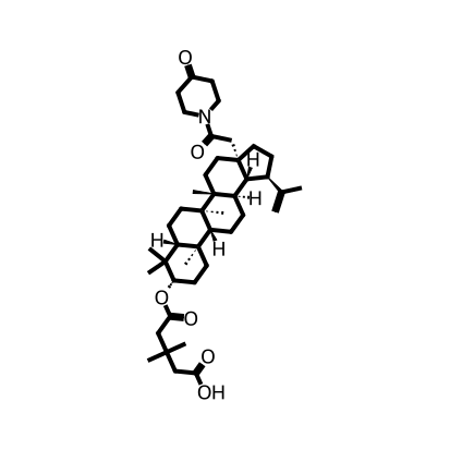 C=C(C)[C@@H]1CC[C@]2(CC(=O)N3CCC(=O)CC3)CC[C@]3(C)[C@H](CC[C@@H]4[C@@]5(C)CC[C@H](OC(=O)CC(C)(C)CC(=O)O)C(C)(C)[C@@H]5CC[C@]43C)[C@@H]12